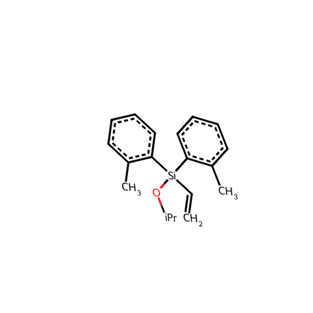 C=C[Si](OC(C)C)(c1ccccc1C)c1ccccc1C